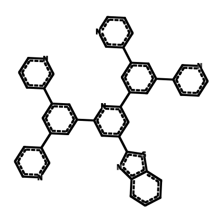 c1cncc(-c2cc(-c3cccnc3)cc(-c3cc(-c4nc5ccccc5s4)cc(-c4cc(-c5cccnc5)cc(-c5cccnc5)c4)n3)c2)c1